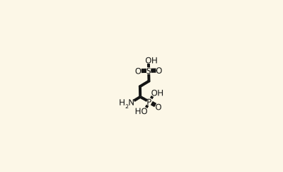 NC(CCS(=O)(=O)O)P(=O)(O)O